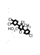 CCn1c(C)c(-c2ccc(Cl)cc2F)c(=O)c(C(=O)O)c1-c1ccc(Cl)c(Cl)c1